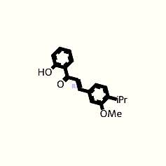 COc1cc(/C=C/C(=O)c2ccccc2O)ccc1C(C)C